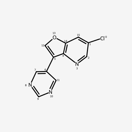 Clc1cnc2c(-c3cncnc3)coc2c1